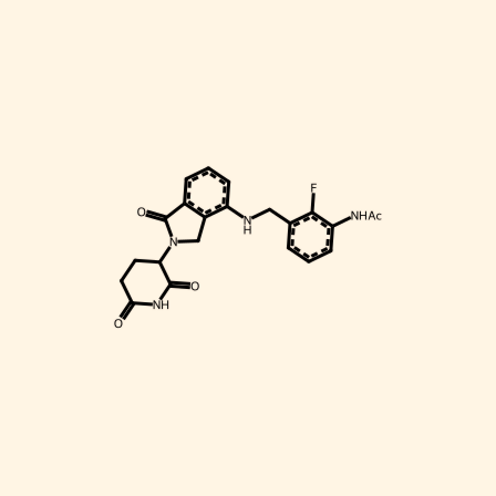 CC(=O)Nc1cccc(CNc2cccc3c2CN(C2CCC(=O)NC2=O)C3=O)c1F